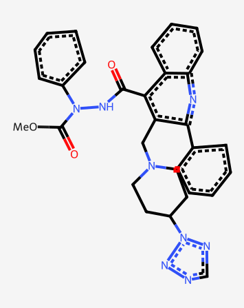 COC(=O)N(NC(=O)c1c(CN2CCC(n3ncnn3)CC2)c(-c2ccccc2)nc2ccccc12)c1ccccc1